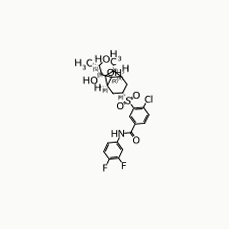 C[C@H](O)[C@@H](O)[C@@]1(O)[C@H]2C[C@@H](S(=O)(=O)c3cc(C(=O)Nc4ccc(F)c(F)c4)ccc3Cl)C[C@@H]1[C@@H](C)C2